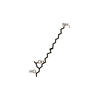 CC(O)CC(CCCCCCCC=CCCCCCCCCN)CC(C)O